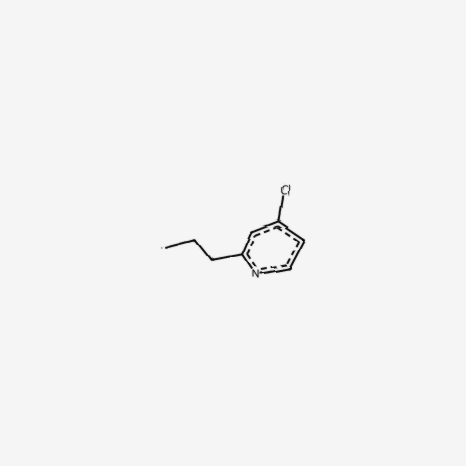 [CH2]CCc1cc(Cl)ccn1